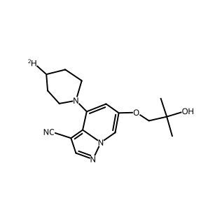 [2H]C1CCN(c2cc(OCC(C)(C)O)cn3ncc(C#N)c23)CC1